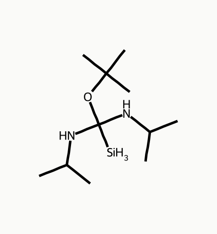 CC(C)NC([SiH3])(NC(C)C)OC(C)(C)C